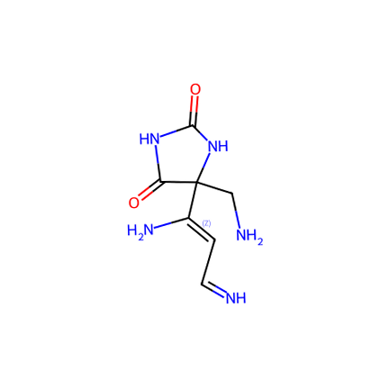 N=C/C=C(\N)C1(CN)NC(=O)NC1=O